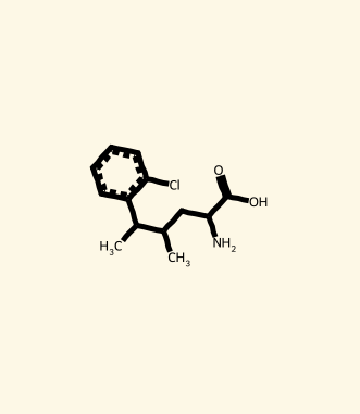 CC(CC(N)C(=O)O)C(C)c1ccccc1Cl